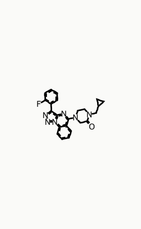 O=C1CN(c2nc3c(-c4ccccc4F)nnn3c3ccccc23)CCN1CC1CC1